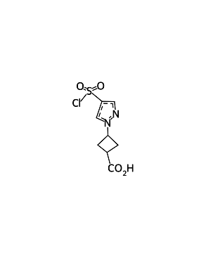 O=C(O)C1CC(n2cc(S(=O)(=O)Cl)cn2)C1